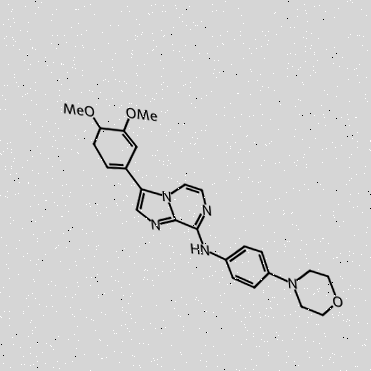 COC1=CC(c2cnc3c(Nc4ccc(N5CCOCC5)cc4)nccn23)=CCC1OC